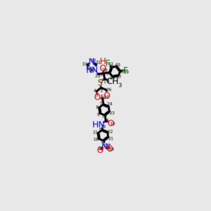 CC(SC1COC(c2ccc(C(=O)Nc3ccc([N+](=O)[O-])cc3)cc2)OC1)C(O)(Cn1cncn1)c1ccc(F)cc1F